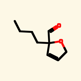 CCCCC1(C=O)C=CCO1